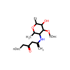 C=C(CC(=O)CCCCCCCCCCC)NC1C(C)OC(CC)C(O)C1OCCCCCCCCCC